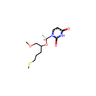 COCC(CCCSC)O[C@H](C)n1ccc(=O)[nH]c1=O